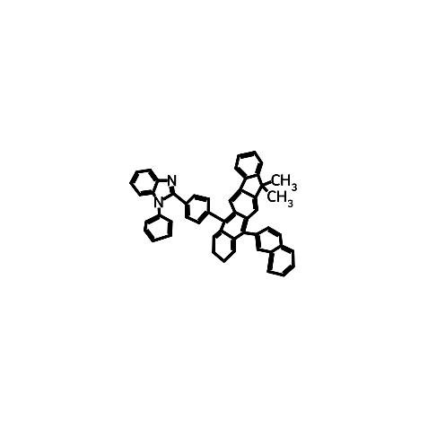 CC1(C)c2ccccc2-c2cc3c(-c4ccc(-c5nc6ccccc6n5-c5ccccc5)cc4)c4c(c(-c5ccc6ccccc6c5)c3cc21)=CCCC=4